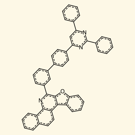 c1ccc(-c2cc(-c3ccc(-c4cccc(-c5nc6c7ccccc7ccc6c6c5oc5ccccc56)c4)cc3)nc(-c3ccccc3)n2)cc1